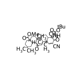 COC(=O)[C@]12CCC(C)(C)CC1C1C(=O)C=C3[C@@]4(C)C=C(C#N)C(=O)[C@@](C)(NC(=O)OC(C)(C)C)C4CC[C@@]3(C)[C@]1(C)CC2